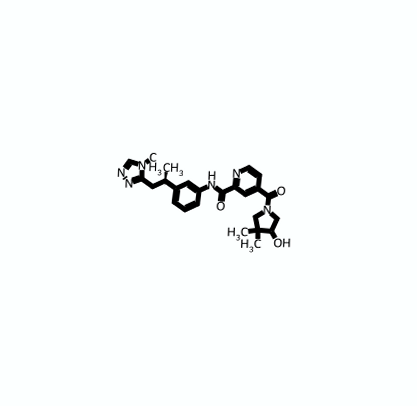 C[C@H](Cc1nncn1C)c1cccc(NC(=O)c2cc(C(=O)N3CC(O)C(C)(C)C3)ccn2)c1